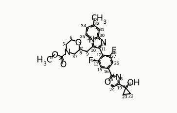 COC(=O)N1CCO[C@@H](Cc2c(-c3c(F)cc(-c4nc(C5(O)CC5)co4)cc3F)nc3cc(C)ccn23)C1